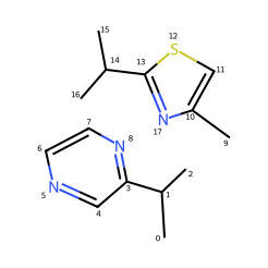 CC(C)c1cnccn1.Cc1csc(C(C)C)n1